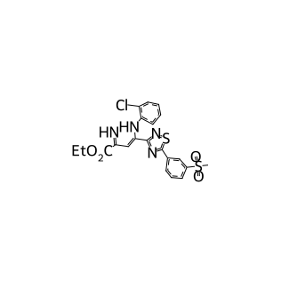 CCOC(=O)C(=N)/C=C(\Nc1ccccc1Cl)c1nsc(-c2cccc(S(C)(=O)=O)c2)n1